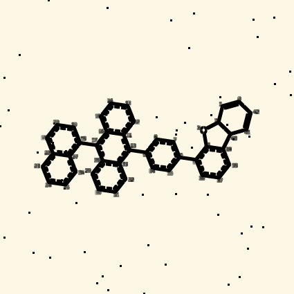 C1=CC2Oc3c(-c4ccc(-c5c6ccccc6c(-c6cccc7ccccc67)c6ccccc56)cc4)cccc3C2C=C1